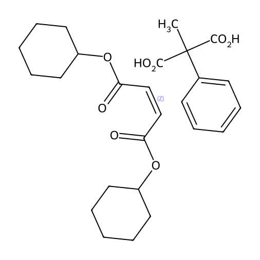 CC(C(=O)O)(C(=O)O)c1ccccc1.O=C(/C=C\C(=O)OC1CCCCC1)OC1CCCCC1